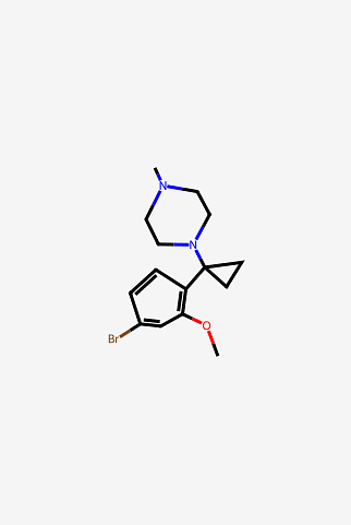 COc1cc(Br)ccc1C1(N2CCN(C)CC2)CC1